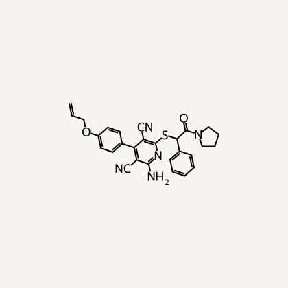 C=CCOc1ccc(-c2c(C#N)c(N)nc(SC(C(=O)N3CCCC3)c3ccccc3)c2C#N)cc1